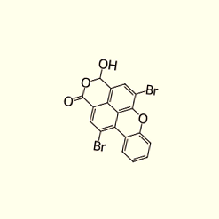 O=C1OC(O)c2cc(Br)c3c4c(c(Br)cc1c24)-c1ccccc1O3